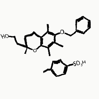 Cc1c(C)c2c(c(C)c1OCc1ccccc1)CC[C@@](C)(CCO)O2.Cc1ccc(S(=O)(=O)O)cc1